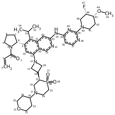 C=CC(=O)N1CCC[C@@H]1c1cc(N2CC([C@@H]3CN(C4CCOCC4)CCS3(=O)=O)C2)c2cnc(Nc3ccnc(N4CC[C@@H](OC)[C@@H](F)C4)n3)cc2c1C(C)C